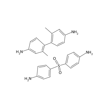 Cc1cc(N)ccc1-c1ccc(N)cc1C.Nc1ccc(S(=O)(=O)c2ccc(N)cc2)cc1